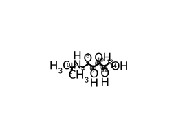 CC(C)NCC(=O)[C@@H](O)[C@H](O)[C@H](O)CO